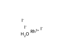 O.[I-].[I-].[I-].[Rh+3]